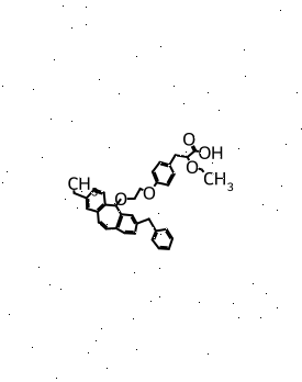 CCOC(Cc1ccc(OCCOC2c3ccc(CC)cc3C=Cc3ccc(Cc4ccccc4)cc32)cc1)C(=O)O